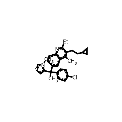 CCc1nc2ccc(C(C)(c3ccc(Cl)cc3)c3cncn3C)cc2c(C)c1CCC1CC1